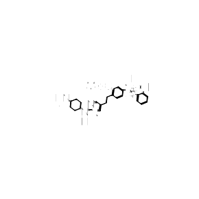 COc1cc(NS(=O)(=O)c2ccccc2Cl)ccc1CCc1cnc(NC2CCC(N)CC2)nc1